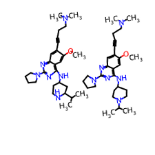 COc1cc2c(NC3CCN(C(C)C)CC3)nc(N3CCCC3)nc2cc1C#CCCN(C)C.COc1cc2c(NC3CCNC(C(C)C)C3)nc(N3CCCC3)nc2cc1C#CCCN(C)C